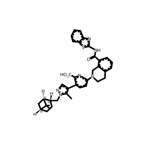 Cc1c(-c2ccc(N3CCc4cccc(C(=O)Nc5nc6ccccc6s5)c4C3)nc2C(=O)O)cnn1C[C@@H]1CC[C@@H]2C[C@@H]1C2(C)C